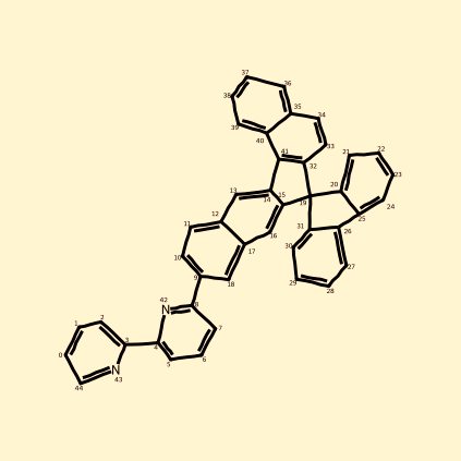 c1ccc(-c2cccc(-c3ccc4cc5c(cc4c3)C3(c4ccccc4-c4ccccc43)c3ccc4ccccc4c3-5)n2)nc1